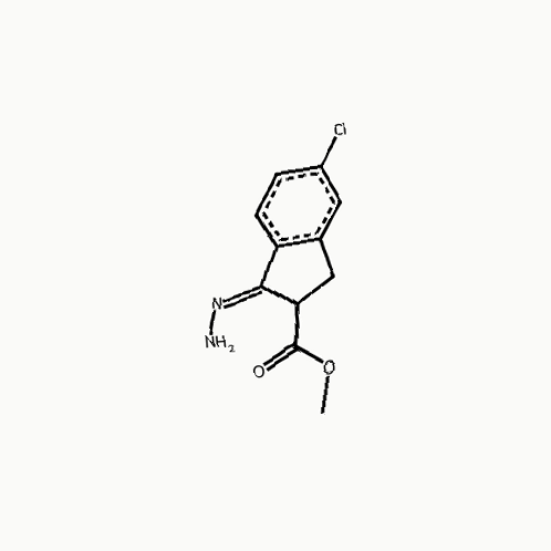 COC(=O)C1Cc2cc(Cl)ccc2/C1=N/N